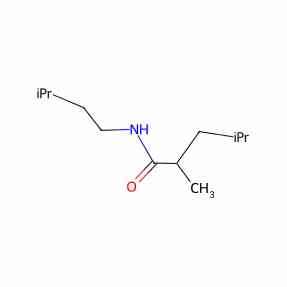 CC(C)CCNC(=O)C(C)CC(C)C